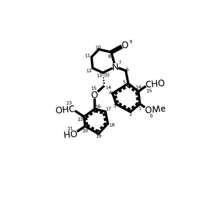 COc1cccc(CN2C(=O)CCC[C@H]2COc2cccc(O)c2C=O)c1C=O